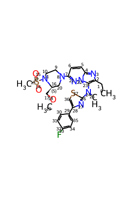 CCc1nc2ccc(N3CCN(S(C)(=O)=O)[C@H](COC)C3)nn2c1N(C)c1nc(-c2ccc(F)cc2)cs1